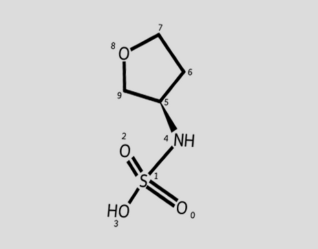 O=S(=O)(O)N[C@@H]1CCOC1